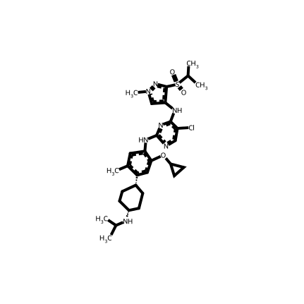 Cc1cc(Nc2ncc(Cl)c(Nc3cn(C)nc3S(=O)(=O)C(C)C)n2)c(OC2CC2)cc1[C@H]1CC[C@@H](NC(C)C)CC1